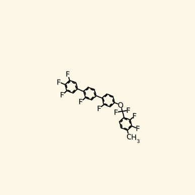 Cc1ccc(C(F)(F)Oc2ccc(-c3ccc(-c4cc(F)c(F)c(F)c4)c(F)c3)c(F)c2)c(F)c1F